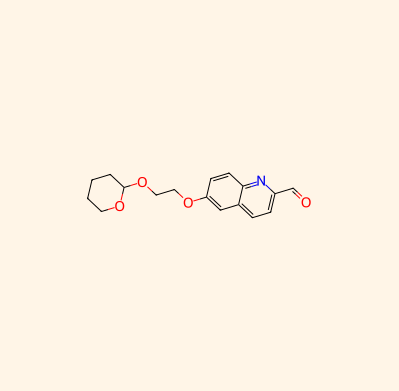 O=Cc1ccc2cc(OCCOC3CCCCO3)ccc2n1